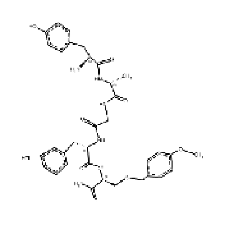 COc1ccc(CSC[C@H](NC(=O)[C@H](Cc2ccccc2)NC(=O)CNC(=O)[C@@H](C)NC(=O)[C@@H](N)Cc2ccc(O)cc2)C(N)=O)cc1.Cl